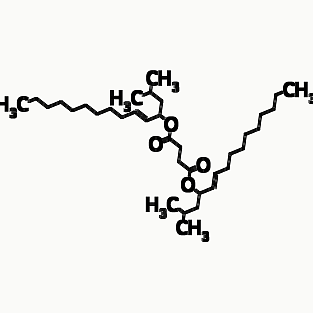 CCCCCCCCC/C=C/C(CC(C)C)OC(=O)CCC(=O)OC(/C=C/CCCCCCCCC)CC(C)C